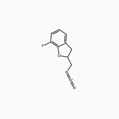 [N-]=[N+]=NCC1Cc2cccc(F)c2O1